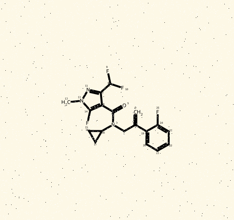 C=C(CN(C(=O)c1c(C(F)F)nn(C)c1F)C1CC1)c1ccccc1F